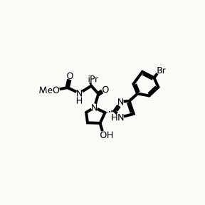 COC(=O)N[C@H](C(=O)N1CCC(O)[C@H]1c1nc(-c2ccc(Br)cc2)c[nH]1)C(C)C